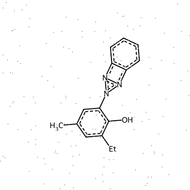 CCc1cc(C)cc(-n2n3c4ccccc4n23)c1O